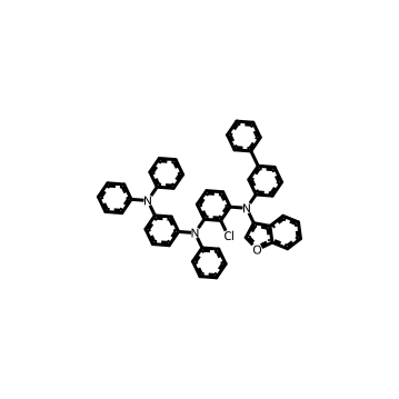 Clc1c(N(c2ccccc2)c2cccc(N(c3ccccc3)c3ccccc3)c2)cccc1N(c1cccc(-c2ccccc2)c1)c1coc2ccccc12